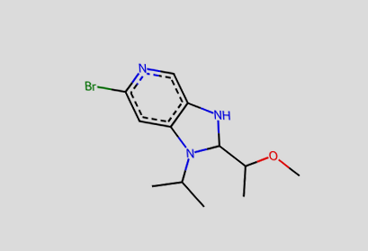 COC(C)C1Nc2cnc(Br)cc2N1C(C)C